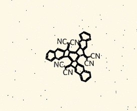 N#CC(C#N)=C1c2cc3ccccc3cc2-c2c1c1c(c3c2C(=C(C#N)C#N)c2cc4ccccc4cc2-3)C(=C(C#N)C#N)c2cc3ccccc3cc2-1